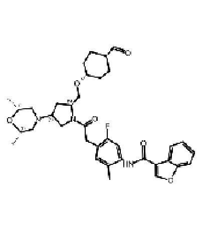 Cc1cc(CC(=O)N2C[C@@H](N3C[C@@H](C)O[C@@H](C)C3)C[C@H]2CO[C@H]2CC[C@H](C=O)CC2)c(F)cc1NC(=O)c1coc2ccccc12